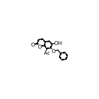 CC(=O)c1c(OCc2ccccc2)c(O)cc2ccc(=O)oc12